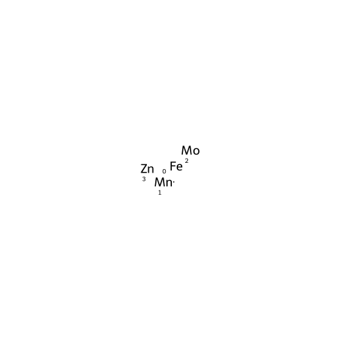 [Fe].[Mn].[Mo].[Zn]